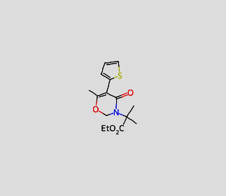 CCOC(=O)C(C)(C)N1COC(C)=C(c2cccs2)C1=O